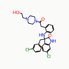 O=C(Cc1ccccc1NC1(Cc2cccc(Cl)c2)C(=O)Nc2cc(Cl)ccc21)N1CCN(CCO)CC1